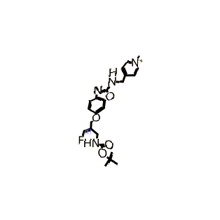 C[n+]1ccc(CNc2nc3ccc(OC/C(=C/F)CNC(=O)OC(C)(C)C)cc3o2)cc1